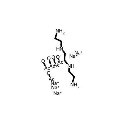 CC(=O)[O-].CC(=O)[O-].CC(=O)[O-].CC(=O)[O-].CC(=O)[O-].NCCNCCNCCN.[Na+].[Na+].[Na+].[Na+].[Na+]